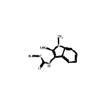 Cn1c(C=O)c(NC(=O)OC(C)(C)C)c2ccccc21